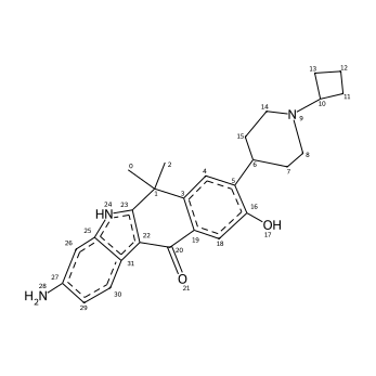 CC1(C)c2cc(C3CCN(C4CCC4)CC3)c(O)cc2C(=O)c2c1[nH]c1cc(N)ccc21